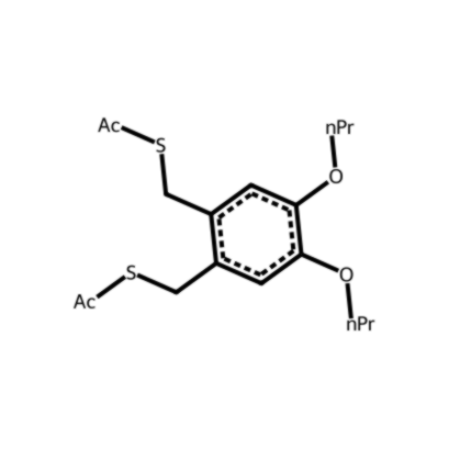 CCCOc1cc(CSC(C)=O)c(CSC(C)=O)cc1OCCC